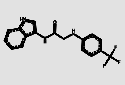 O=C(CNc1ccc(C(F)(F)F)cc1)Nc1c[nH]c2ccccc12